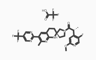 COc1cc([C@@H](C)C(=O)N2CC[C@@]3(CCc4cc(-c5ncc(C(F)(F)F)cn5)c(C)nc4N3)C2)c(F)cn1.O=C(O)C(F)(F)F